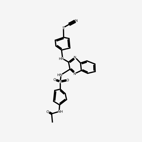 CC(=O)Nc1ccc(S(=O)(=O)Nc2nc3ccccc3nc2Nc2ccc(SC#N)cc2)cc1